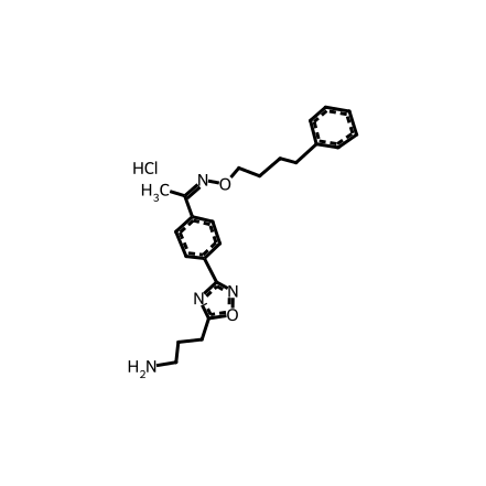 CC(=NOCCCCc1ccccc1)c1ccc(-c2noc(CCCN)n2)cc1.Cl